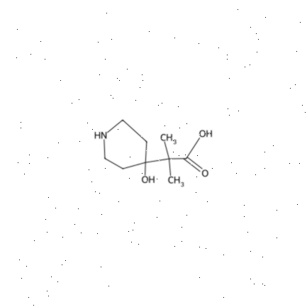 CC(C)(C(=O)O)C1(O)CCNCC1